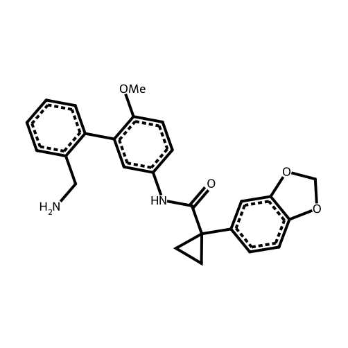 COc1ccc(NC(=O)C2(c3ccc4c(c3)OCO4)CC2)cc1-c1ccccc1CN